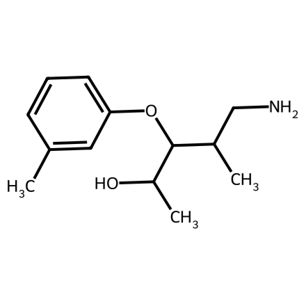 Cc1cccc(OC(C(C)O)C(C)CN)c1